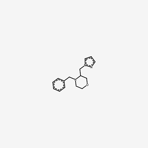 c1ccc(CN2CCOCC2Cn2cccn2)cc1